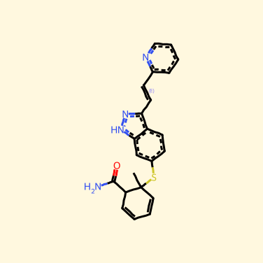 CC1(Sc2ccc3c(/C=C/c4ccccn4)n[nH]c3c2)C=CC=CC1C(N)=O